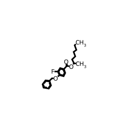 CCCCCCC(C)OC(=O)c1ccc(OCc2ccccc2)c(F)c1